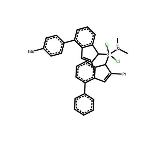 CC1=Cc2c(-c3ccc(C(C)(C)C)cc3)cccc2[CH]1[Zr]([Cl])([Cl])([CH]1C(C(C)C)=Cc2c(-c3ccccc3)cccc21)[SiH](C)C